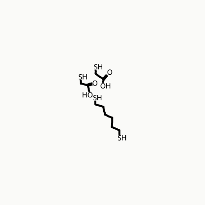 O=C(O)CS.O=C(O)CS.SCCCCCCS